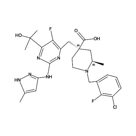 Cc1cc(Nc2nc(C[C@@]3(C(=O)O)CCN(Cc4cccc(Cl)c4F)[C@H](C)C3)c(F)c(C(C)(C)O)n2)n[nH]1